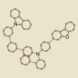 c1ccc(-c2ccccc2N(c2ccc(-c3cccc(-c4cccc(-n5c6ccccc6c6ccccc65)c4)c3)cc2)c2ccc(-c3ccc4c(c3)oc3ccccc34)cc2)cc1